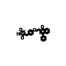 O=C1NC(=O)C(Cc2ccc(OCCn3nc(-c4ccccc4)c4ccccc4c3=O)cc2)S1